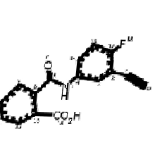 C#Cc1cc(NC(=O)c2ccccc2C(=O)O)ccc1F